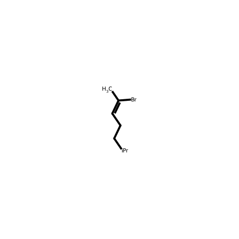 CC(Br)=CCCC(C)C